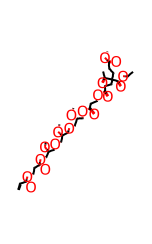 C=CC(=O)OCCC(=O)OCC(COCC(COCC(COC(=O)CCOC(=O)CCC(CCC(=O)OC)(C(C)=O)C(=O)OCC)OC)OC)OC